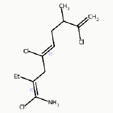 C=C(Cl)C(C)C/C=C(\Cl)C/C(CC)=C(\N)Cl